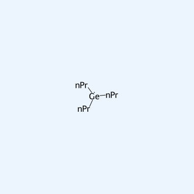 CC[CH2][Ge]([CH2]CC)[CH2]CC